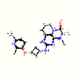 Cc1nc(C(F)(F)F)ccc1O[C@H]1C[C@H](Nc2nc3c4c(n2)N(C)[C@@H](C)C(=O)N4CCC3)C1